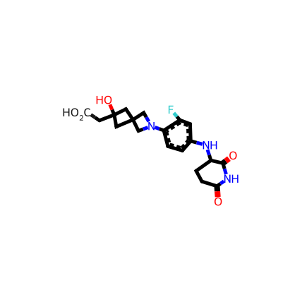 O=C(O)CC1(O)CC2(CN(c3ccc(NC4CCC(=O)NC4=O)cc3F)C2)C1